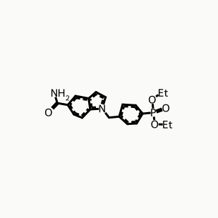 CCOP(=O)(OCC)c1ccc(Cn2ccc3cc(C(N)=O)ccc32)cc1